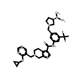 CN(C)[C@@H]1CCN(Cc2cc(NC(=O)c3csc4c3CCN(Cc3cncnc3OC3CC3)C4)cc(C(F)(F)F)c2)C1